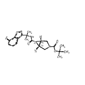 CC(C)(C)OC(=O)N1C[C@@H]2[C@H](C1)[C@H]2C(=O)NC(C)(C)c1noc2c(F)cccc12